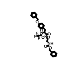 O=C(NCCNC(=O)C(Cc1ccc(OCc2ccccc2)cc1)NC(=O)C(F)(F)F)OCc1ccccc1